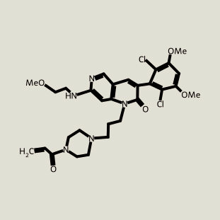 C=CC(=O)N1CCN(CCCn2c(=O)c(-c3c(Cl)c(OC)cc(OC)c3Cl)cc3cnc(NCCOC)cc32)CC1